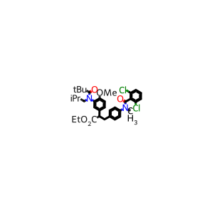 CCOC(=O)C(Cc1ccc(N(C)C(=O)c2c(Cl)cccc2Cl)cc1)c1ccc(OC)c(N(CC(C)C)C(=O)C(C)(C)C)c1